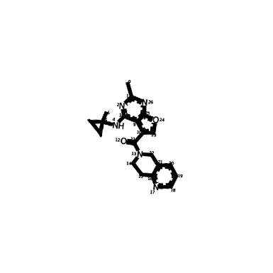 Cc1nc(NC2(C)CC2)c2c(C(=O)N3CCc4ncccc4C3)coc2n1